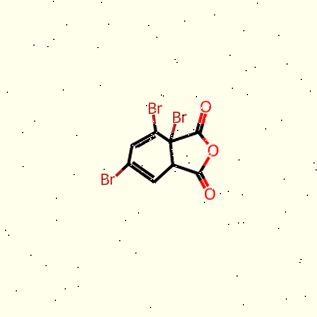 O=C1OC(=O)C2(Br)C(Br)=CC(Br)=CC12